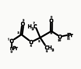 CCCOC(=O)OC(C)(C)C(=O)OC(C)C